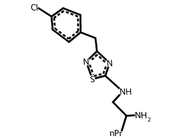 CCCC(N)CNc1nc(Cc2ccc(Cl)cc2)ns1